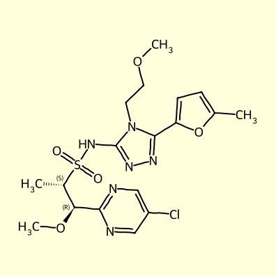 COCCn1c(NS(=O)(=O)[C@@H](C)[C@H](OC)c2ncc(Cl)cn2)nnc1-c1ccc(C)o1